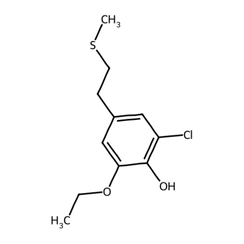 CCOc1cc(CCSC)cc(Cl)c1O